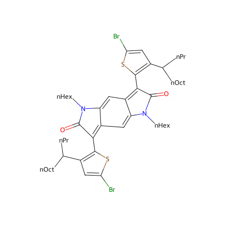 CCCCCCCCC(CCC)c1cc(Br)sc1C1=c2cc3c(cc2N(CCCCCC)C1=O)=C(c1sc(Br)cc1C(CCC)CCCCCCCC)C(=O)N3CCCCCC